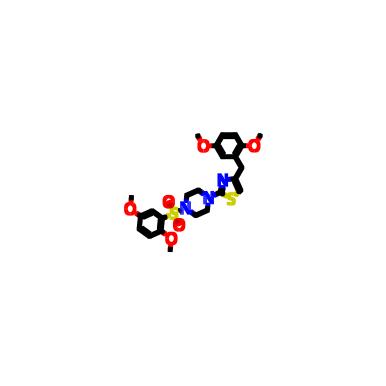 COc1ccc(OC)c(Cc2csc(N3CCN(S(=O)(=O)c4cc(OC)ccc4OC)CC3)n2)c1